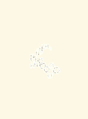 CN1CCN(C2=NC=CC(Nc3cc4ccc(-c5c(Cl)cccc5Cl)cc4cn3)N2)CC1